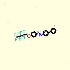 FC(F)C(F)(F)C(F)(F)C(F)(F)COc1ccc(/N=N/c2ccc(-c3ccccc3)cc2)cc1